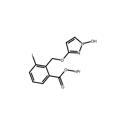 CCCOC(=O)c1cccc(I)c1COc1ccn(O)n1